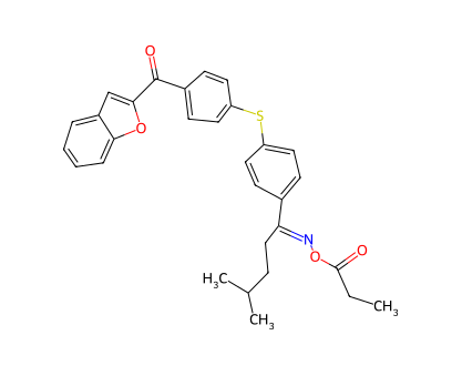 CCC(=O)O/N=C(\CCC(C)C)c1ccc(Sc2ccc(C(=O)c3cc4ccccc4o3)cc2)cc1